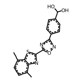 Cc1ccc(C)c2sc(-c3nc(-c4ccc(C(O)O)cc4)no3)nc12